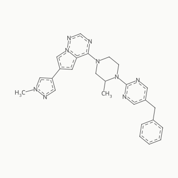 CC1CN(c2ncnn3cc(-c4cnn(C)c4)cc23)CCN1c1ncc(Cc2ccccc2)cn1